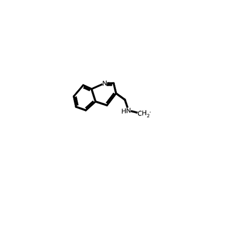 [CH2]NCc1cnc2ccccc2c1